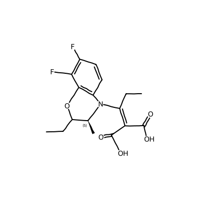 CCC(=C(C(=O)O)C(=O)O)N1c2ccc(F)c(F)c2OC(CC)[C@@H]1C